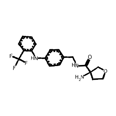 NC1(C(=O)NCc2ccc(Nc3ccccc3C(F)(F)F)cc2)CCOC1